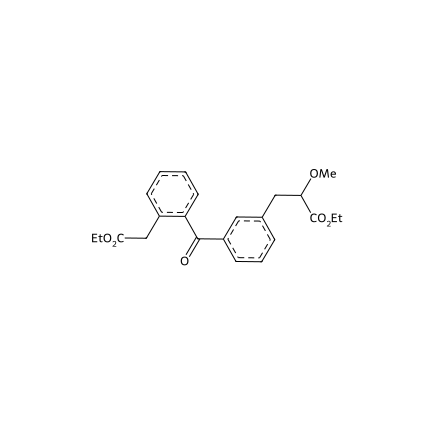 CCOC(=O)Cc1ccccc1C(=O)c1cccc(CC(OC)C(=O)OCC)c1